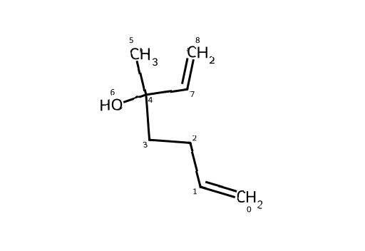 C=CCCC(C)(O)C=C